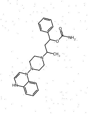 CC(CC(OC(N)=O)c1ccccc1)N1CCN(N2C=CNc3ccccc32)CC1